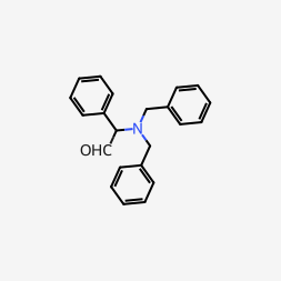 O=CC(c1ccccc1)N(Cc1ccccc1)Cc1ccccc1